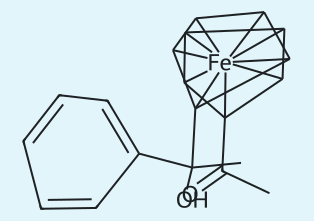 CC(=O)[C]12[CH]3[CH]4[CH]5[CH]1[Fe]45321678[CH]2[CH]1[CH]6[C]7(C(C)(O)c1ccccc1)[CH]28